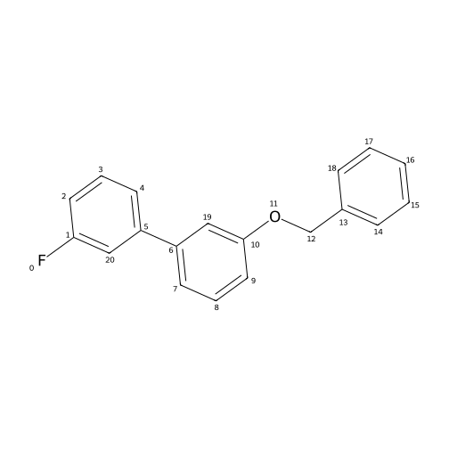 Fc1cccc(-c2cccc(OCc3ccccc3)c2)c1